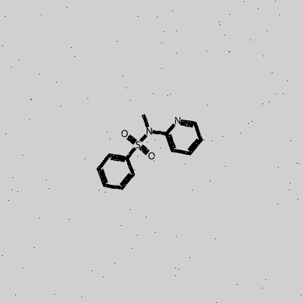 CN(c1cc[c]cn1)S(=O)(=O)c1ccccc1